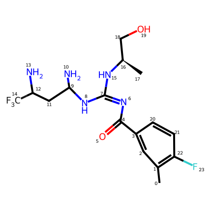 Cc1cc(C(=O)/N=C(\NC(N)CC(N)C(F)(F)F)N[C@H](C)CO)ccc1F